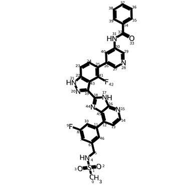 CS(=O)(=O)NCc1cc(F)cc(-c2ccnc3[nH]c(-c4n[nH]c5ccc(-c6cncc(NC(=O)c7ccccc7)c6)c(F)c45)nc23)c1